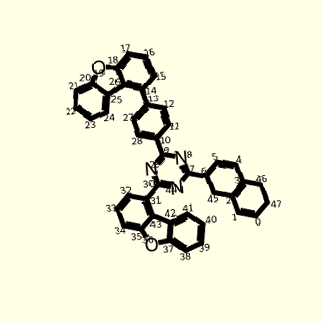 C1=CC2=C(C=CC(c3nc(-c4ccc(-c5cccc6oc7ccccc7c56)cc4)nc(-c4cccc5oc6ccccc6c45)n3)C2)CC1